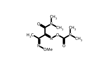 CON=C(C)C(=NOC(=O)N(C)C)C(=O)N(C)C